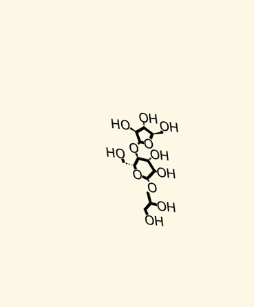 OCC(O)CO[C@@H]1O[C@H](CO)[C@@H](O[C@@H]2O[C@H](CO)[C@@H](O)[C@@H]2O)[C@H](O)[C@H]1O